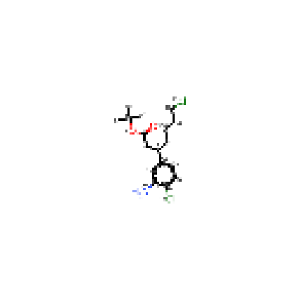 CC(C)(C)OC(=O)CC(CCCCCl)c1ccc(Cl)c(N)c1